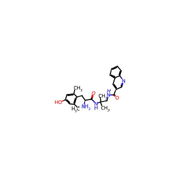 Cc1cc(O)cc(C)c1C[C@H](N)C(=O)NC(C)(C)CNC(=O)c1cnc2ccccc2c1